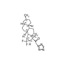 C[C@H]1CC[C@@H]2C3CC[C@@]4(C)C([C@@H]3CC[C@@H]2C1)[C@H]1[C@@H]([C@@H]4C(=O)Cn2ncnn2)C1(F)F